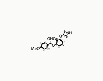 COc1ccc(COc2cccc(OC3CNC3)c2C=O)cc1